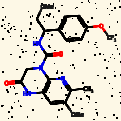 COCC(NC(=O)N1CC(=O)Nc2cc(OC)c(C)nc21)c1ccc(OC(F)(F)F)cc1